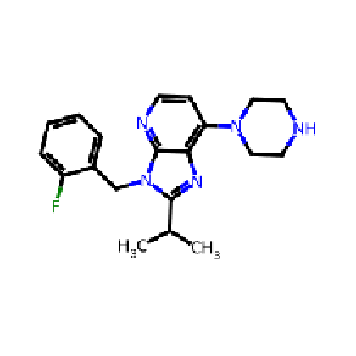 CC(C)c1nc2c(N3CCNCC3)ccnc2n1Cc1ccccc1F